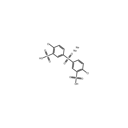 O=S(=O)(O)c1cc(S(=O)(=O)c2ccc(Cl)c(S(=O)(=O)O)c2)ccc1Cl.[Na].[Na]